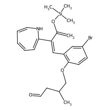 C=C(O[Si](C)(C)C)C(=Cc1cc(Br)ccc1OCC(C)CC=O)C1=CC=CC=CN1